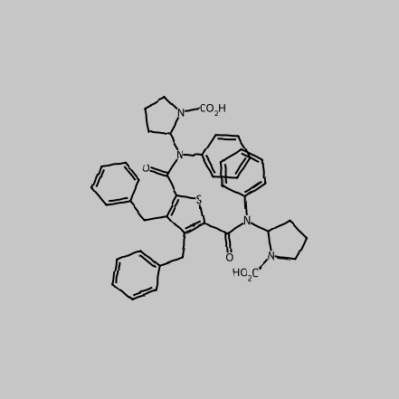 O=C(O)N1CCCC1N(C(=O)c1sc(C(=O)N(c2ccccc2)C2CCCN2C(=O)O)c(Cc2ccccc2)c1Cc1ccccc1)c1ccccc1